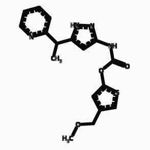 COCc1csc(OC(=O)Nc2cc(C(C)c3ccccn3)[nH]n2)c1